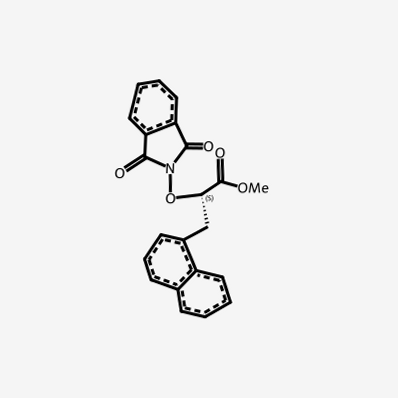 COC(=O)[C@H](Cc1cccc2ccccc12)ON1C(=O)c2ccccc2C1=O